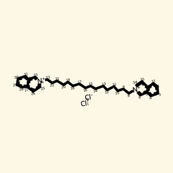 [Cl-].[Cl-].c1ccc2c[n+](CCCCCCCCCCCCCCCC[n+]3ccc4ccccc4c3)ccc2c1